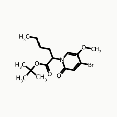 CCCCC(C(=O)OC(C)(C)C)n1cc(OC)c(Br)cc1=O